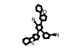 N#Cc1cccc(-c2cc(-c3ccc4oc5ccccc5c4c3)c(C#N)cc2-c2ccc3sc4ccccc4c3c2)c1